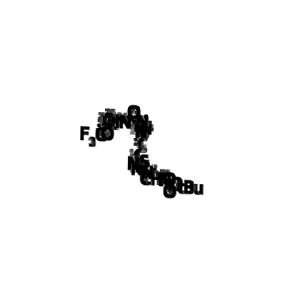 CC(C)(C)OC(=O)N1CC(CN(C=O)c2nnc(CCCCn3cc(C(=O)NCc4cccc(OC(F)(F)F)c4)nn3)s2)C1